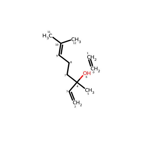 C=C.C=CC(C)(O)CCC=C(C)C